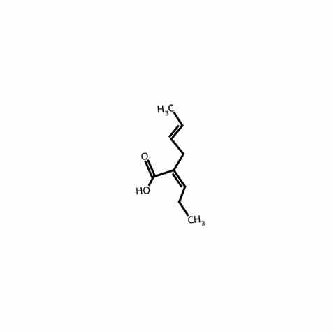 CC=CCC(=CCC)C(=O)O